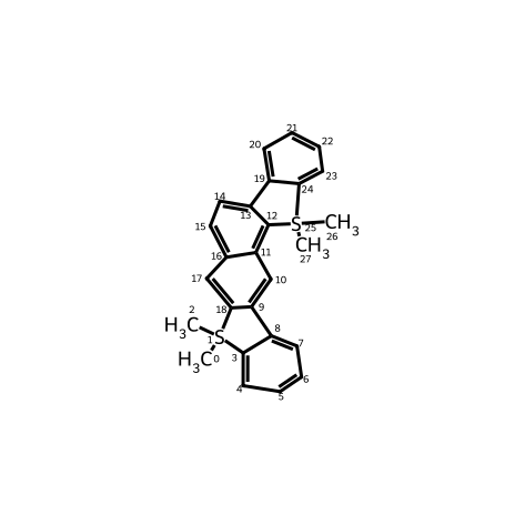 CS1(C)c2ccccc2-c2cc3c4c(ccc3cc21)-c1ccccc1S4(C)C